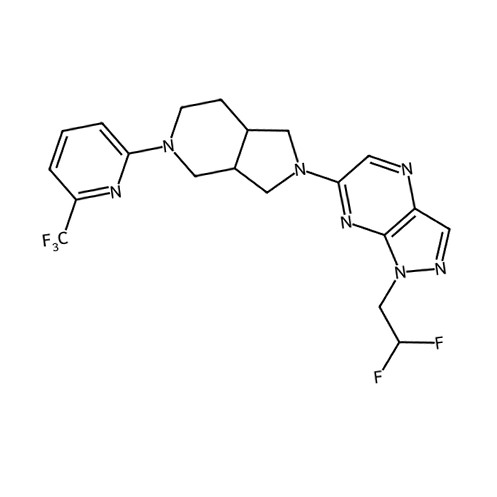 FC(F)Cn1ncc2ncc(N3CC4CCN(c5cccc(C(F)(F)F)n5)CC4C3)nc21